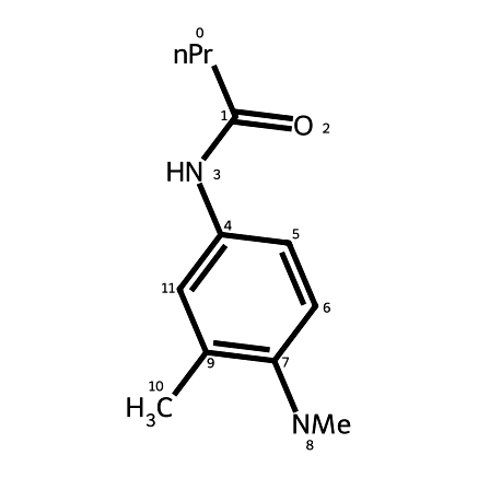 CCCC(=O)Nc1ccc(NC)c(C)c1